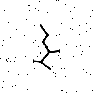 CCCC(I)C(C)I